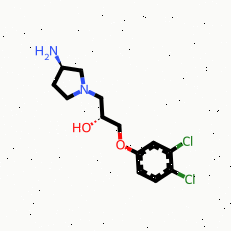 N[C@@H]1CCN(C[C@@H](O)COc2ccc(Cl)c(Cl)c2)C1